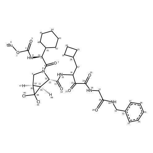 CC(C)(C)OC(=O)N[C@H](C(=O)N1C[C@H]2[C@@H]([C@H]1C(=O)NC(CC1CCC1)C(=O)C(=O)NCC(=O)NCc1ccccc1)C2(Cl)Cl)C1CCCCC1